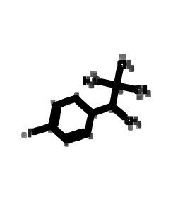 CC(C1C=CC(F)=CC1)[Si](C)(C)C